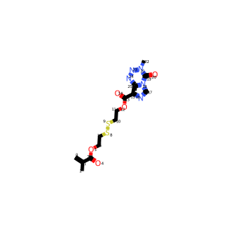 C=C(C)C(=O)OCCSSCCOC(=O)c1ncn2c(=O)n(C)nnc12